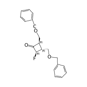 O=C1[C@@H](COCc2ccccc2)[C@H](COCc2ccccc2)[C@H]1F